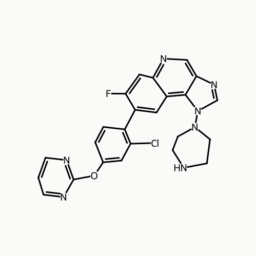 Fc1cc2ncc3ncn(N4CCNCC4)c3c2cc1-c1ccc(Oc2ncccn2)cc1Cl